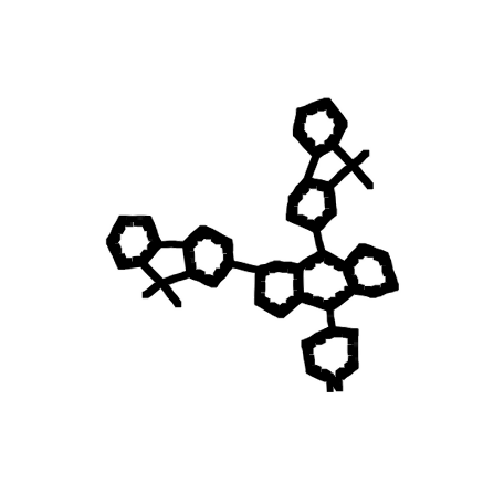 CC1(C)c2ccccc2-c2ccc(-c3ccc4c(-c5ccncc5)c5ccccc5c(-c5ccc6c(c5)C(C)(C)c5ccccc5-6)c4c3)cc21